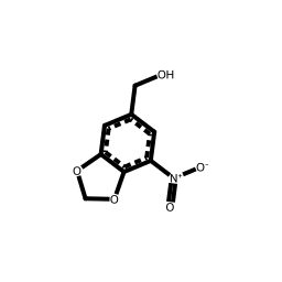 O=[N+]([O-])c1cc(CO)cc2c1OCO2